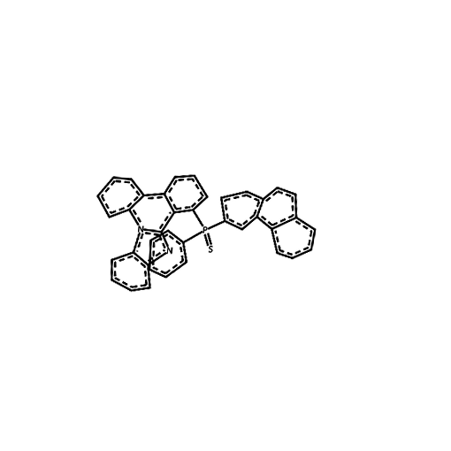 S=P(c1ccccc1)(c1ccc2ccc3ccccc3c2c1)c1cccc2c3ccccc3n3c4ccccc4nc3c12